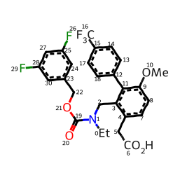 CCN(Cc1c(CC(=O)O)ccc(OC)c1-c1ccc(C(F)(F)F)cc1)C(=O)OCc1cc(F)cc(F)c1